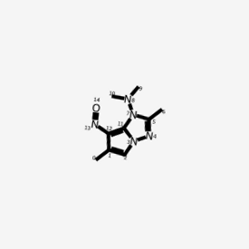 Cc1cn2nc(C)n(N(C)C)c2c1N=O